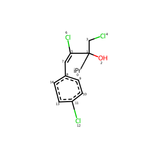 CC(C)C(O)(CCl)/C(Cl)=C\c1ccc(Cl)cc1